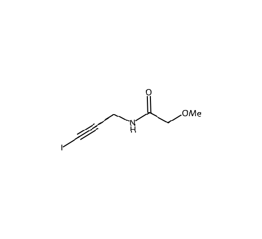 COCC(=O)NCC#CI